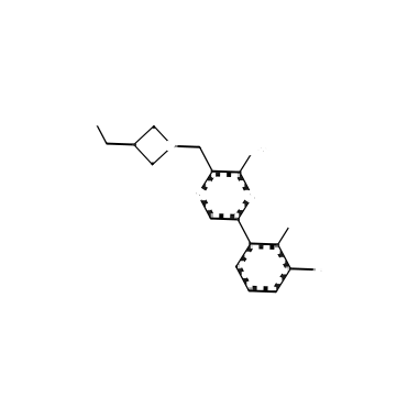 COc1nc(-c2cccc(Br)c2Cl)cnc1CN1CC(CO)C1